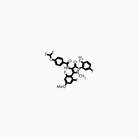 COc1cc(F)c(-c2c(NC(=O)c3ccc(OC(F)F)cc3)c(=O)n(-c3cc(F)ccc3C)n2C)c(F)c1